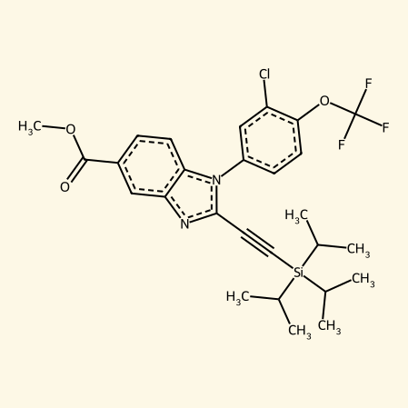 COC(=O)c1ccc2c(c1)nc(C#C[Si](C(C)C)(C(C)C)C(C)C)n2-c1ccc(OC(F)(F)F)c(Cl)c1